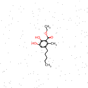 CCCCCc1cc(O)c(O)c(C(=O)OCC)c1C